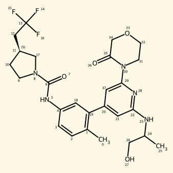 Cc1ccc(NC(=O)N2CC[C@@H](CC(F)(F)F)C2)cc1-c1cc(NC(C)CO)nc(N2CCOCC2=O)c1